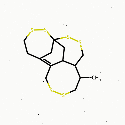 CC1CSSCC2=C3CCSSC4(C3)CC2C1CSS4